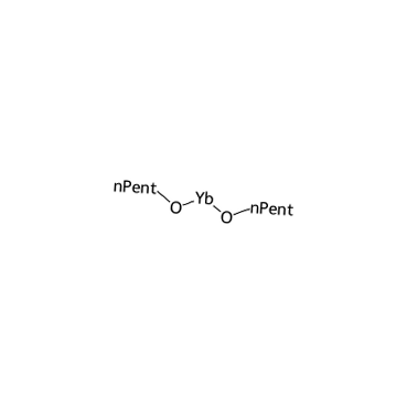 CCCCC[O][Yb][O]CCCCC